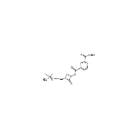 CNC(=O)c1cccc(C(=O)SN2C[C@H](CCO[Si](C)(C)C(C)(C)C)C2=O)c1